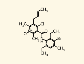 CC=CCc1c(Cl)c(C(=O)Nc2c(CC)cc(C)c(Br)c2CC)c(C)[n+]([O-])c1C